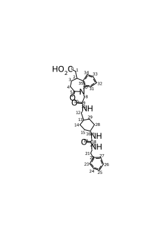 O=C(O)CC1CCC(=O)N(CC(=O)NCC2CCC(NC(=O)NCc3ccccc3)CC2)c2ccccc21